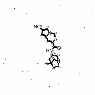 N#Cc1cc2cc(C(=O)N[C@@H]3C[C@H]4CCN(C4)C3)ncn2c1